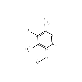 Cc1cnc(CCl)c(C)c1Cl